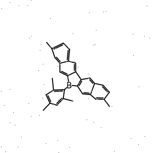 Cc1cc(C)c(B2c3cc4cc(C)ccc4cc3-c3cc4ccc(C)cc4cc32)c(C)c1